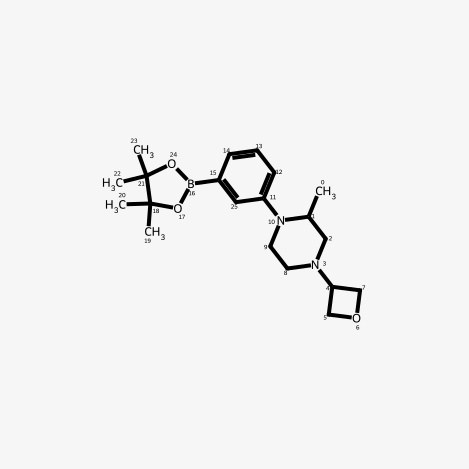 CC1CN(C2COC2)CCN1c1cccc(B2OC(C)(C)C(C)(C)O2)c1